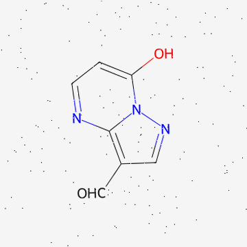 O=Cc1cnn2c(O)ccnc12